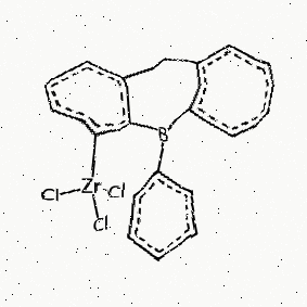 [Cl][Zr]([Cl])([Cl])[c]1cccc2c1B(c1ccccc1)c1ccccc1C2